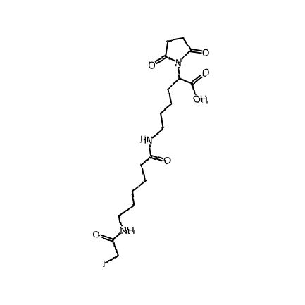 O=C(CI)NCCCCCC(=O)NCCCCC(C(=O)O)N1C(=O)CCC1=O